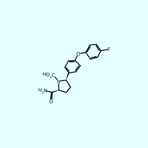 NC(=O)[C@@H]1CC[C@H](c2ccc(Oc3ccc(F)cc3)cc2)N1C(=O)O